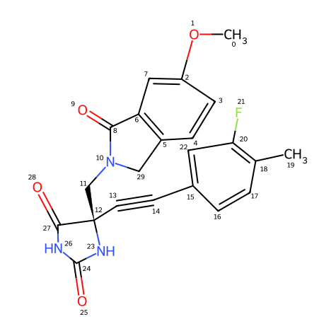 COc1ccc2c(c1)C(=O)N(C[C@@]1(C#Cc3ccc(C)c(F)c3)NC(=O)NC1=O)C2